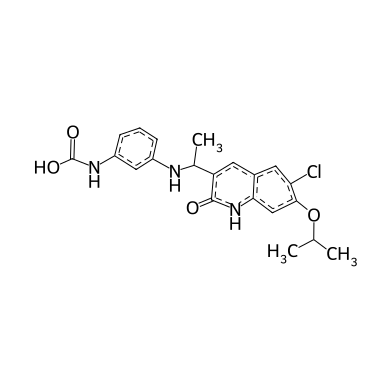 CC(C)Oc1cc2[nH]c(=O)c(C(C)Nc3cccc(NC(=O)O)c3)cc2cc1Cl